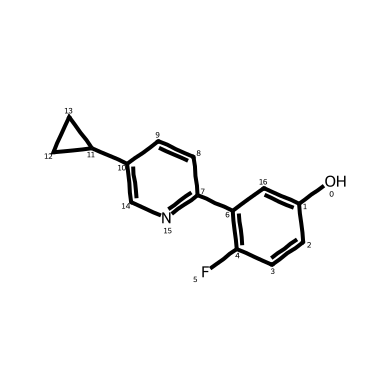 Oc1ccc(F)c(-c2ccc(C3CC3)cn2)c1